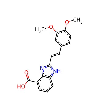 COc1ccc(/C=C/c2nc3c(C(=O)O)cccc3[nH]2)cc1OC